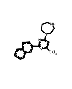 ClC(Cl)(Cl)c1nc(-c2ccc3ccccc3c2)nc(N2CCCNCC2)n1